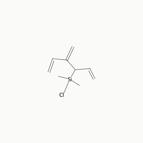 C=CC(=C)C(C=C)[Si](C)(C)Cl